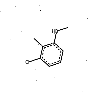 CBc1cccc(Cl)c1C